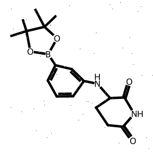 CC1(C)OB(c2cccc(NC3CCC(=O)NC3=O)c2)OC1(C)C